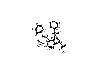 C=C(OCC)c1cn(S(=O)(=O)c2ccccc2)c2c(OCc3ccccc3)c(C3CC3)cnc12